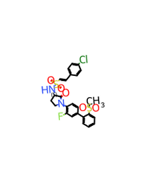 CS(=O)(=O)c1ccccc1-c1ccc(N2CC[C@H](NS(=O)(=O)C=Cc3ccc(Cl)cc3)C2=O)c(F)c1